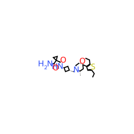 CCc1cc2c(s1)CCO[C@@]21CCN(C[C@H]2C[C@@H](NC(=O)C3(C(N)=O)CC3)C2)[C@@H](C)C1